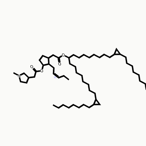 CC/C=C\CC1C(CC(=O)OC(CCCCCCCCC2CC2CCCCCCCC)CCCCCCCCC2CC2CCCCCCCC)CCC1OC(=O)CC1CCN(C)C1